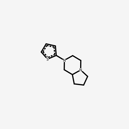 c1csc(N2CCN3CCCC3C2)c1